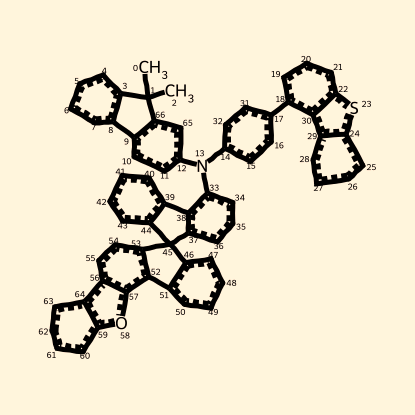 CC1(C)c2ccccc2-c2ccc(N(c3ccc(-c4cccc5sc6ccccc6c45)cc3)c3cccc4c3-c3ccccc3C43c4ccccc4-c4c3ccc3c4oc4ccccc43)cc21